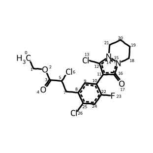 CCOC(=O)C(Cl)Cc1cc(-c2c(Cl)n3n(c2=O)CCCC3)c(F)cc1Cl